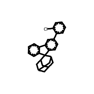 Clc1ccccc1-c1ccc2c(c1)-c1ccccc1C21C2CC3CC(C2)CC1C3